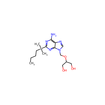 CCCC[Si](C)(C)c1nc(N)c2ncn(COC(CO)CO)c2n1